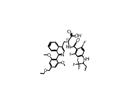 CCOCc1cc(OC)c(-c2ncc(C[C@H](NC(=O)c3c(F)cc(NC(CC)C(F)(F)F)cc3F)C(=O)O)c3ccccc23)c(OC)c1